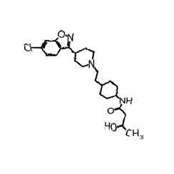 CC(O)CC(=O)NC1CCC(CCN2CCC(c3noc4cc(Cl)ccc34)CC2)CC1